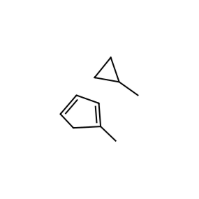 CC1=CC=CC1.CC1CC1